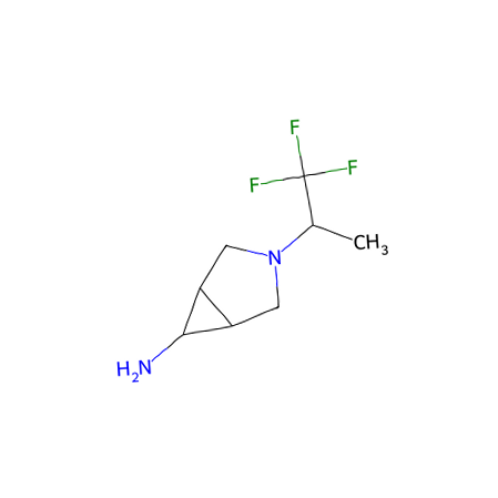 CC(N1CC2C(N)C2C1)C(F)(F)F